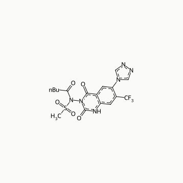 CCCCC(=O)N(n1c(=O)[nH]c2cc(C(F)(F)F)c(-n3cnnc3)cc2c1=O)S(C)(=O)=O